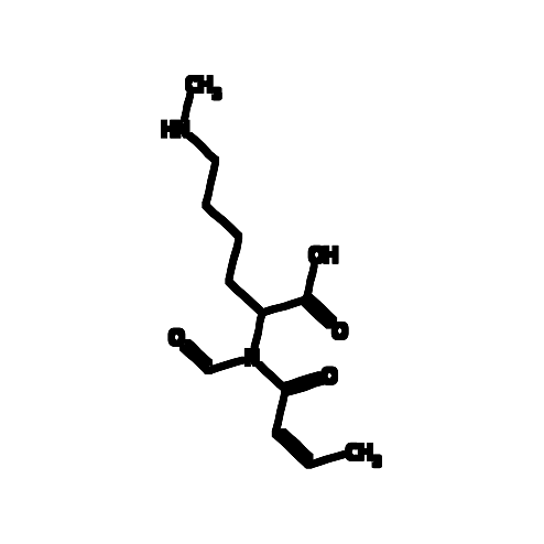 C/C=C\C(=O)N(C=O)C(CCCCNC)C(=O)O